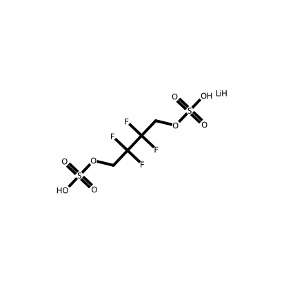 O=S(=O)(O)OCC(F)(F)C(F)(F)COS(=O)(=O)O.[LiH]